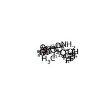 CCc1cc(CN2CC3CC(C2)N3S(C)(=O)=O)ccc1-c1ccc(C(O)(C(F)(F)F)C(F)(F)F)cc1C(N)=O